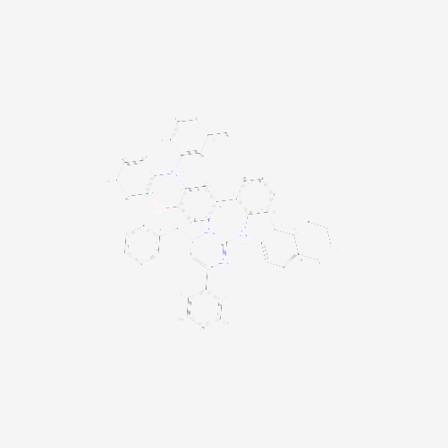 C/C=C(\N=C(/NCCc1ccccc1)N1C2=CC=C3CCCCC3C2c2cccc(-c3ccc4c(c3)N(C3=CC(C)CC=C3)C3=C(CCC=C3)O4)c21)c1ccccc1